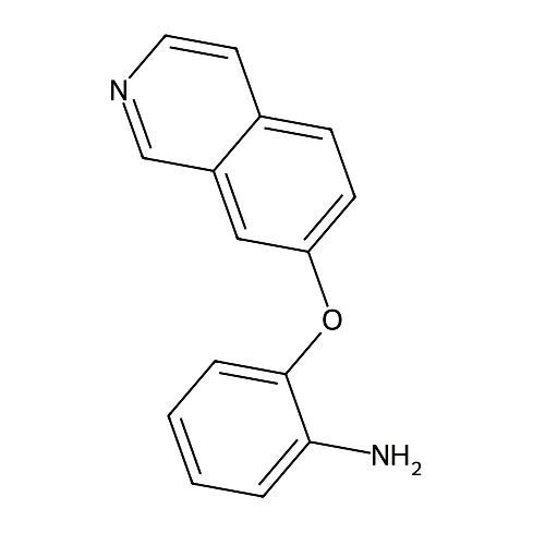 Nc1ccccc1Oc1ccc2ccncc2c1